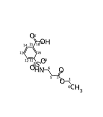 CCOC(=O)CCNS(=O)(=O)c1cccc(C(=O)O)c1